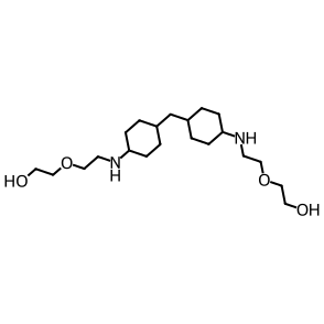 OCCOCCNC1CCC(CC2CCC(NCCOCCO)CC2)CC1